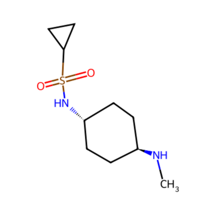 CN[C@H]1CC[C@H](NS(=O)(=O)C2CC2)CC1